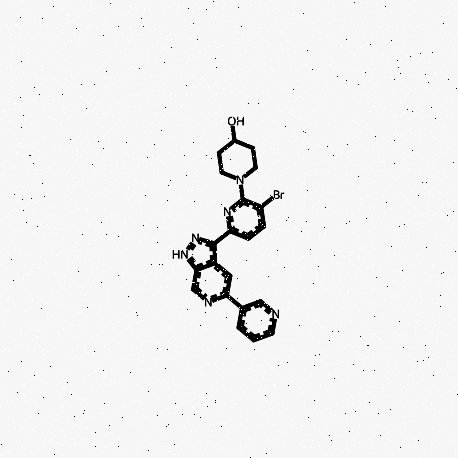 OC1CCN(c2nc(-c3n[nH]c4cnc(-c5cccnc5)cc34)ccc2Br)CC1